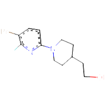 OCCC1CCN(c2ccc(Br)c(F)n2)CC1